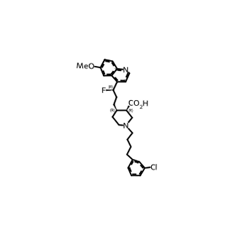 COc1ccc2nccc([C@H](F)CC[C@@H]3CCN(CCCCc4cccc(Cl)c4)C[C@@H]3C(=O)O)c2c1